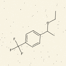 CCOC(C)c1ccc(C(F)(F)F)cc1